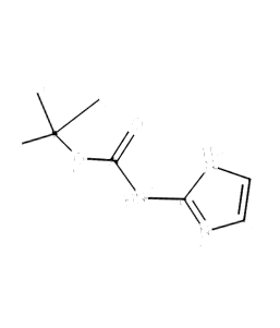 CC(C)(C)OC(=O)Nc1ncc[nH]1